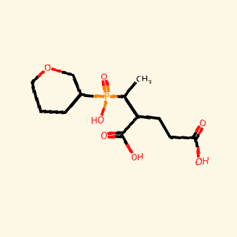 CC(C(CCC(=O)O)C(=O)O)P(=O)(O)C1CCCOC1